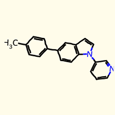 Cc1ccc(-c2ccc3c(ccn3-c3cccnc3)c2)cc1